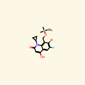 CC(C)(C)[Si](C)(C)OCc1c(Br)c(F)cc2c(O)cc(=O)n(C3CC3)c12